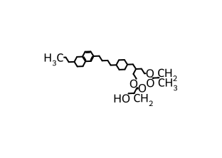 C=C(C)C(=O)OCCC(CCOC(=O)C(=C)CO)CC1CCC(CCCCc2ccc3c(c2)CCC(CCC)C3)CC1